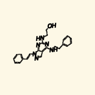 OCCNc1nc(NCCc2ccccc2)c2cnn(C=Cc3ccccc3)c2n1